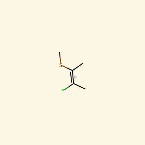 CS/C(C)=C(/C)F